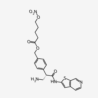 NC[C@@H](C(=O)Nc1cc2ccncc2s1)c1ccc(COC(=O)CCCCO[N+](=O)[O-])cc1